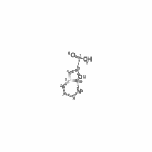 O=C(O)c1cc2cccnc2o1